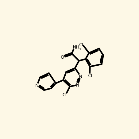 NC(=O)C(c1cc(-c2ccncc2)c(Cl)nn1)c1c(Cl)cccc1Cl